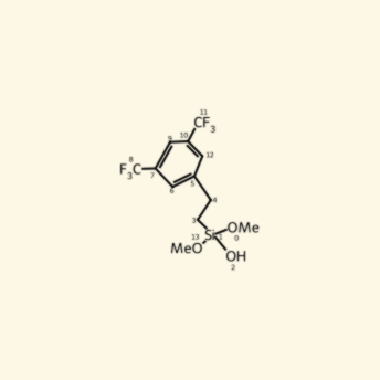 CO[Si](O)(CCc1cc(C(F)(F)F)cc(C(F)(F)F)c1)OC